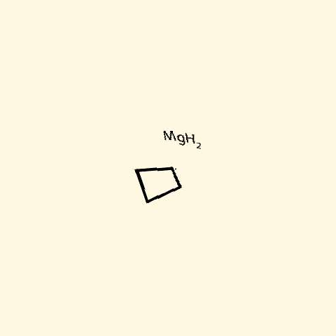 [CH]1CCC1.[MgH2]